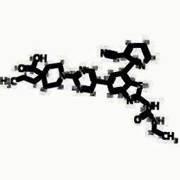 CCCC1(C(=O)O)CCN(c2ncc(-c3cc(-c4ncccc4C#N)c4sc(NC(=O)NCC)nc4c3)cn2)CC1